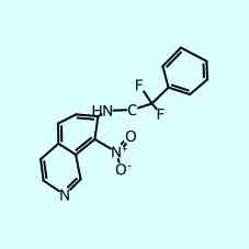 O=[N+]([O-])c1c(NCC(F)(F)c2ccccc2)ccc2ccncc12